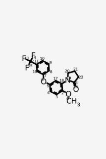 COc1ccc(Oc2cccc(C(F)(F)F)c2)cc1N1CCCC1=O